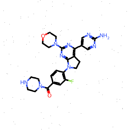 Nc1ncc(-c2nc(N3CCOCC3)nc3c2CCN3c2ccc(C(=O)N3CCNCC3)cc2F)cn1